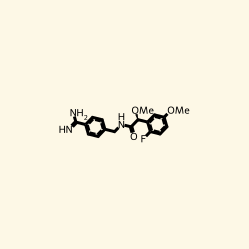 COc1ccc(F)c([C@H](OC)C(=O)NCc2ccc(C(=N)N)cc2)c1